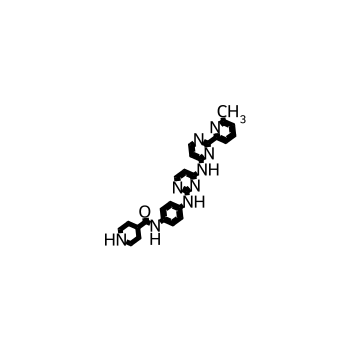 Cc1cccc(-c2nccc(Nc3ccnc(Nc4ccc(NC(=O)C5CCNCC5)cc4)n3)n2)n1